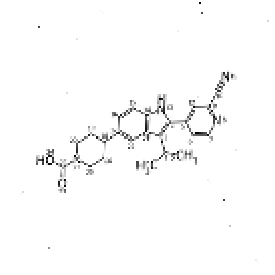 CC(C)c1c(-c2ccnc(C#N)c2)[nH]c2ccc(C3CCN(C(=O)O)CC3)cc12